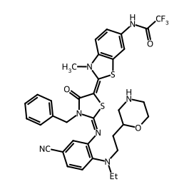 CCN(CCC1CNCCO1)c1ccc(C#N)cc1/N=C1/S/C(=C2\Sc3cc(NC(=O)C(F)(F)F)ccc3N2C)C(=O)N1Cc1ccccc1